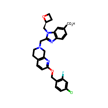 O=C(O)c1ccc2nc(CN3CCc4ccc(OCc5ccc(Cl)cc5F)nc4C3)n(C[C@@H]3CCO3)c2c1